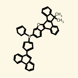 CC1(C)c2ccccc2-c2c1c1ccccc1c1c2oc2cc(N(C3=CC=CCC3)c3ccc(-c4cc5ccccc5c5ccccc45)cc3)ccc21